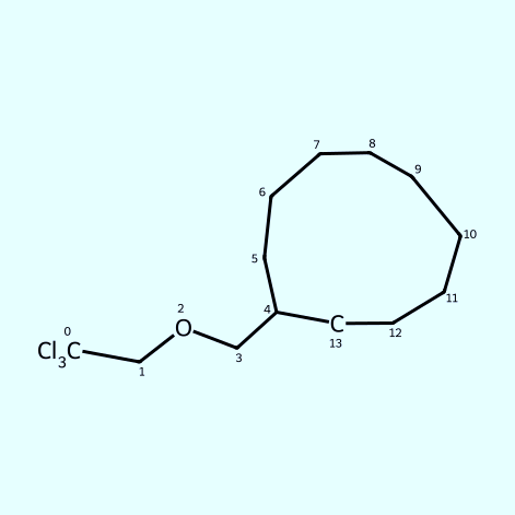 ClC(Cl)(Cl)COCC1CCCCCCCCC1